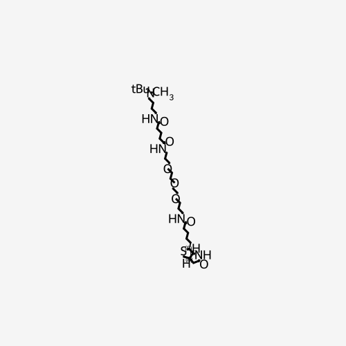 CN(CCCCNC(=O)CCCC(=O)NCCCOCCOCCOCCCNC(=O)CCCC[C@@H]1SC[C@@H]2CC(=O)N[C@@H]21)C(C)(C)C